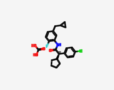 O=C(Nc1cc(CC2CC2)ccc1F)[C@@H](c1ccc(Cl)cc1)C1CCCC1.O=C(O)O